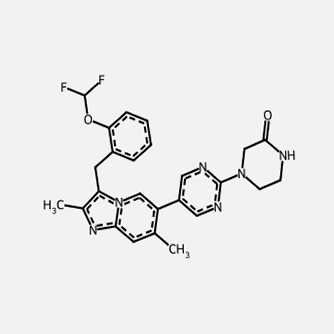 Cc1cc2nc(C)c(Cc3ccccc3OC(F)F)n2cc1-c1cnc(N2CCNC(=O)C2)nc1